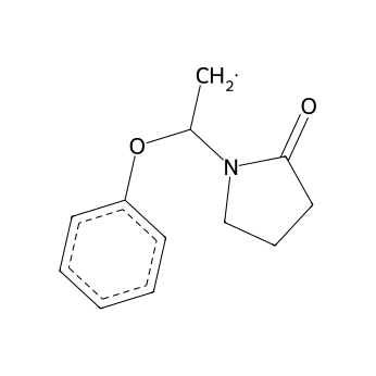 [CH2]C(Oc1ccccc1)N1CCCC1=O